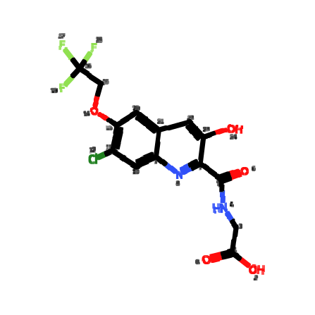 O=C(O)CNC(=O)c1nc2cc(Cl)c(OCC(F)(F)F)cc2cc1O